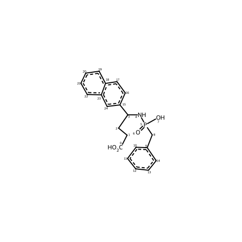 O=C(O)CCC(NP(=O)(O)Cc1ccccc1)c1ccc2ccccc2c1